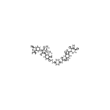 CC1(C)C(=O)N(c2ccc(C#N)c(C(F)(F)F)c2)C(=S)N1c1ccc(OCCN2CCN(CC(=O)Nc3ccc4c([C@@H]5CCC(=O)NC5=O)coc4c3)CC2)c(F)c1